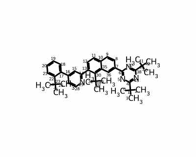 CC(C)(C)c1nc(-c2ccc3ccc(-c4cc(-c5ccccc5C(C)(C)C)ccn4)c(C(C)(C)C)c3c2)nc(C(C)(C)C)n1